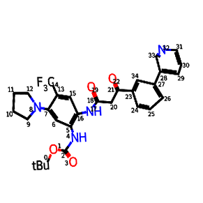 CC(C)(C)OC(=O)Nc1cc(N2CCCC2)c(C(F)(F)F)cc1NC(=O)CC(=O)c1cccc(-c2cccnc2)c1